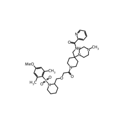 COc1cc(C)c(S(=O)(=O)N2CCCCC2COCC(=O)N2CCC(CNC(=O)c3ccccn3)(N3CCN(C)CC3)CC2)c(C)c1